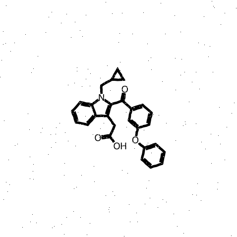 O=C(O)Cc1c(C(=O)c2cccc(Oc3ccccc3)c2)n(CC2CC2)c2ccccc12